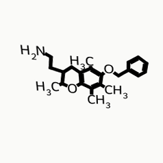 Cc1c(C)c2c(c(C)c1OCc1ccccc1)CC(CCN)C(C)O2